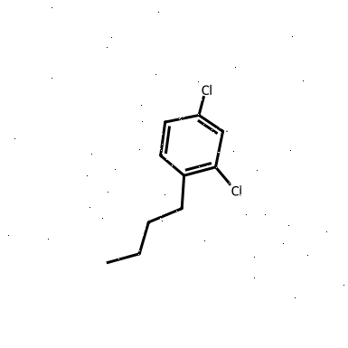 CCCCc1ccc(Cl)[c]c1Cl